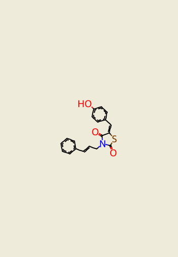 O=C1SC(=Cc2ccc(O)cc2)C(=O)N1CC=Cc1ccccc1